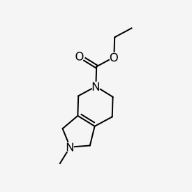 CCOC(=O)N1CCC2=C(CN(C)C2)C1